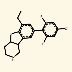 CCc1cc(-c2c(F)cc(Cl)cc2F)cc2c1OC1CCNCC21